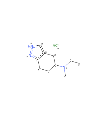 CCN(C)C1CCc2n[nH]cc2C1.Cl